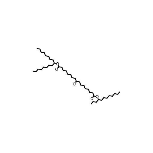 CCCCCCCCC(CCC)OC(=O)CCCCCCCC(=O)CCCCCCCC(=O)OC(CCCCCCCC)CCCCCCCC